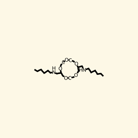 CCCCCCNCC1COCCOCC(CNCCCCCC)OCCOCCO1